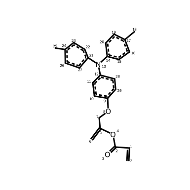 C=CC(=O)OC(=C)COc1ccc(N(c2ccc(C)cc2)c2ccc(C)cc2)cc1